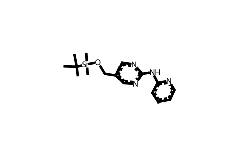 CC(C)(C)[Si](C)(C)OCc1cnc(Nc2ccccn2)nc1